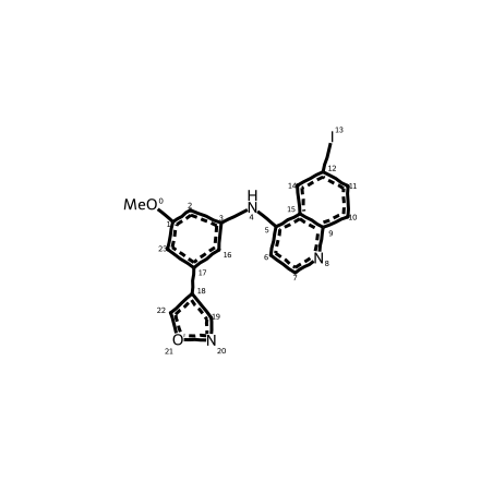 COc1cc(Nc2ccnc3ccc(I)cc23)cc(-c2cnoc2)c1